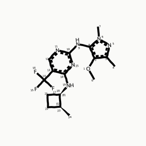 COc1c(C)nn(C)c1Nc1ncc(C(F)(F)F)c(N[C@@H]2CC[C@@H]2C)n1